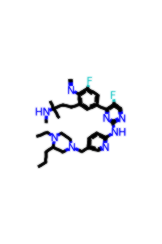 C=Nc1c(F)cc(-c2nc(Nc3ccc(CN4CCN(CC)C(CCC)C4)cn3)ncc2F)cc1CCC(C)(C)NC